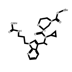 COC(=O)NCCCn1cc(C(C)N(C(=O)[C@H]2CN(C(=O)OC(C)(C)C)CCO2)C2CC2)c2cccnc21